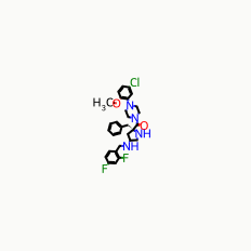 COc1ccc(Cl)cc1N1CCN(C(=O)[C@]2(Cc3ccccc3)C[C@H](NCc3ccc(F)cc3F)CN2)CC1